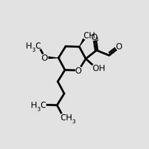 CO[C@H]1C[C@@H](C)C(O)(C(=O)C=O)OC1CCC(C)C